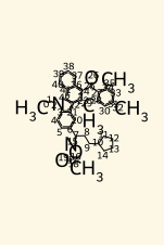 CCn1c2ccc(/C(CCC3CCCC3)=N/OC(C)=O)cc2c2cc(C(=O)c3c(C)cc(C)cc3C)c3ccccc3c21